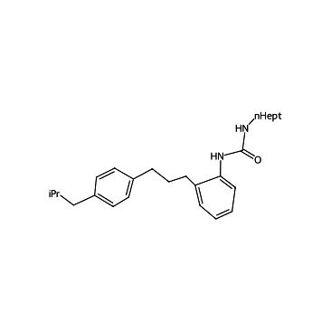 CCCCCCCNC(=O)Nc1ccccc1CCCc1ccc(CC(C)C)cc1